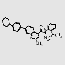 Cc1cc(C(=O)Nc2ccccc2C(C)C)c2ccc(-c3ccc(C4CCCCC4)cc3)cc2n1